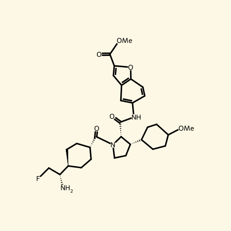 COC(=O)c1cc2cc(NC(=O)[C@@H]3[C@H](C4CCC(OC)CC4)CCN3C(=O)[C@H]3CC[C@H]([C@H](N)CF)CC3)ccc2o1